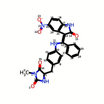 CN1C(=O)NC(Cc2ccc(NC(=C3C(=O)Nc4ccc([N+](=O)[O-])cc43)c3ccccc3)cc2)C1=O